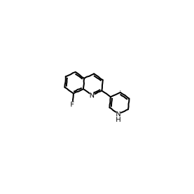 Fc1cccc2ccc(C3=CNCC=[C]3)nc12